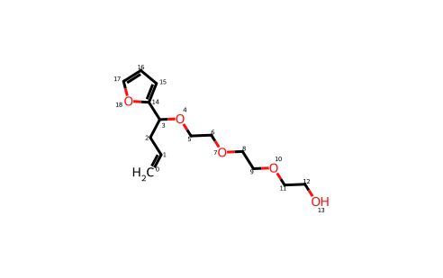 C=CCC(OCCOCCOCCO)c1ccco1